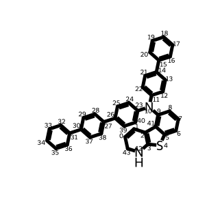 C1=Cc2c(sc3cccc(N(c4ccc(-c5ccccc5)cc4)c4ccc(-c5ccc(-c6ccccc6)cc5)cc4)c23)NC1